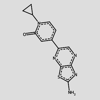 Nc1nc2ncc(-c3ccn(C4CC4)c(=O)c3)nc2s1